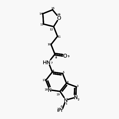 CC(C)n1ncc2cc(NC(=O)CCC3CCCO3)cnc21